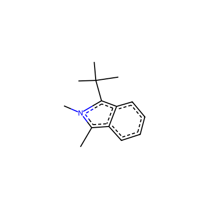 Cc1c2ccccc2c(C(C)(C)C)n1C